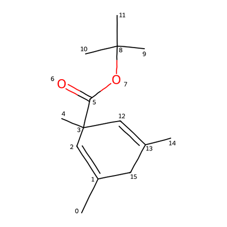 CC1=CC(C)(C(=O)OC(C)(C)C)C=C(C)C1